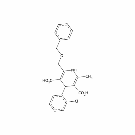 CC1=C(C(=O)O)C(c2ccccc2Cl)C(C(=O)O)=C(COCc2ccccc2)N1